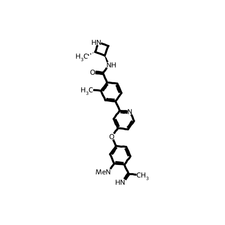 CNc1cc(Oc2ccnc(-c3ccc(C(=O)N[C@@H]4CN[C@H]4C)c(C)c3)c2)ccc1C(C)=N